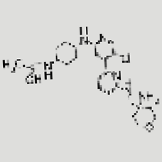 C[C@H](O)CN[C@H]1CC[C@H](Nc2cc(-c3cccc(NCC4(N)CCOCC4)n3)c(Cl)cn2)CC1